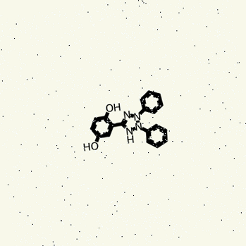 Oc1ccc(O)c(C2=NN(c3ccccc3)N(c3ccccc3)N2)c1